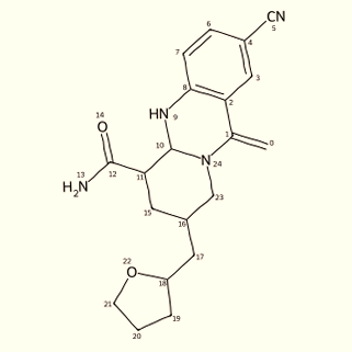 C=C1c2cc(C#N)ccc2NC2C(C(N)=O)CC(CC3CCCO3)CN12